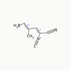 B/C=C(C)/C=C(/C#N)[N+]#[C-]